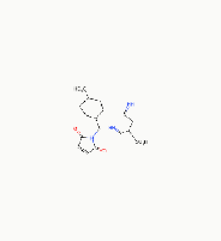 N=CCC(C=N)S(=O)(=O)O.O=C(O)C1CCC(CN2C(=O)C=CC2=O)CC1